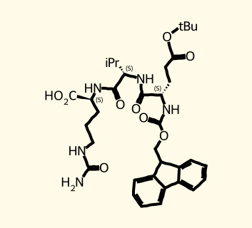 CC(C)[C@H](NC(=O)[C@H](CCC(=O)OC(C)(C)C)NC(=O)OCC1c2ccccc2-c2ccccc21)C(=O)N[C@@H](CCCNC(N)=O)C(=O)O